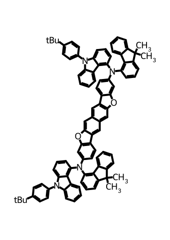 CC(C)(C)c1ccc(-n2c3ccccc3c3c(N(c4ccc5c(c4)oc4cc6cc7c(cc6cc45)oc4cc(N(c5cccc6c5-c5ccccc5C6(C)C)c5cccc6c5c5ccccc5n6-c5ccc(C(C)(C)C)cc5)ccc47)c4cccc5c4-c4ccccc4C5(C)C)cccc32)cc1